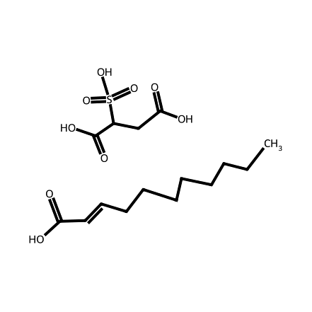 CCCCCCCCC=CC(=O)O.O=C(O)CC(C(=O)O)S(=O)(=O)O